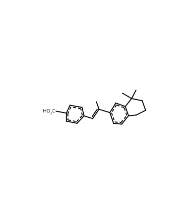 CC(=Cc1ccc(C(=O)O)cc1)c1ccc2c(c1)C(C)(C)CCC2